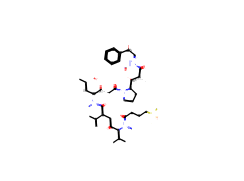 CC[C@@H](C)[C@H]([C@H](CC(=O)N1CCCC1[C@@H](OC)[C@H](C)C(=O)N[C@@H](C)[C@H](O)c1ccccc1)OC)N(C)C(=O)C(CC(=O)C(C(C)C)N(C)C(=O)CCC[SH](C)(C)=O)C(C)C